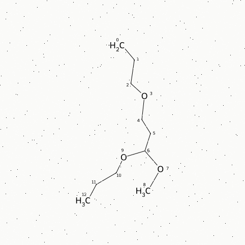 [CH2]CCOCCC(OC)OCCC